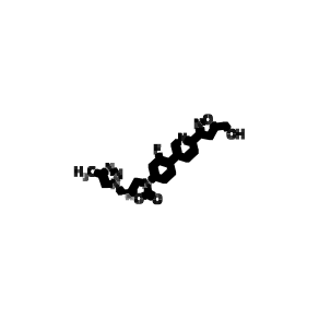 Cc1cn(C[C@H]2CN(c3ccc(-c4ccc(C5=NOC(CO)C5)nc4)c(F)c3)C(=O)O2)nn1